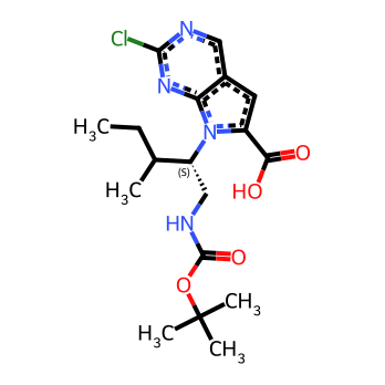 CCC(C)[C@@H](CNC(=O)OC(C)(C)C)n1c(C(=O)O)cc2cnc(Cl)nc21